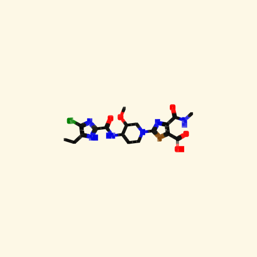 CCc1[nH]c(C(=O)NC2CCN(c3nc(C(=O)NC)c(C(=O)O)s3)CC2OC)nc1Cl